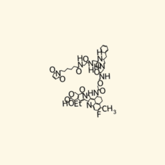 CC[C@@]1(O)C(=O)OCc2c1cc1n(c2=O)Cc2c-1nc1cc(F)c(C)c3c1c2[C@@H](NC(=O)COCNC(=O)CNC[C@H](Cc1ccccc1)NC(=O)CNC(=O)CNC(=O)CCCCCN1C(=O)C=CC1=O)CC3